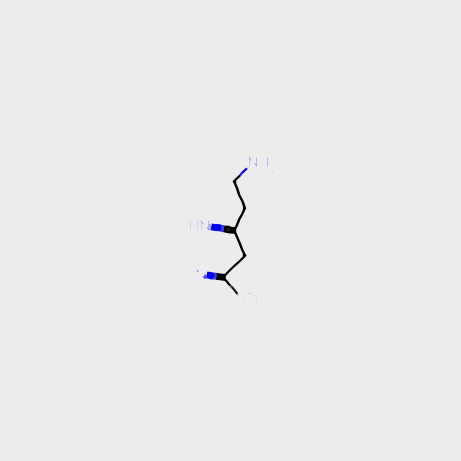 CCCC(=N)CC(=N)CCN